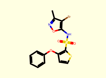 Cc1noc(NS(=O)(=O)c2sccc2Oc2ccccc2)c1Br